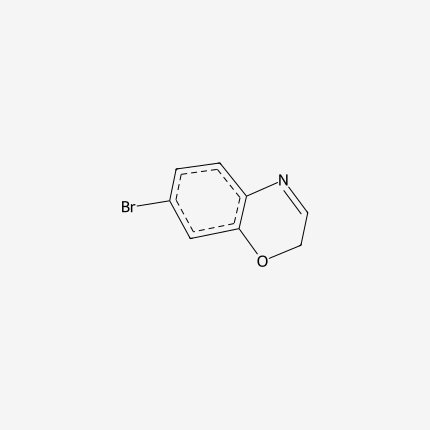 Brc1ccc2c(c1)OCC=N2